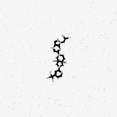 FC(F)Cn1ncc2ncc(N3CC[C@@H]4CN(c5cc(C(F)(F)F)ccn5)C[C@@H]4C3)nc21